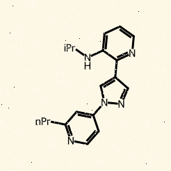 CCCc1cc(-n2cc(-c3ncccc3NC(C)C)cn2)ccn1